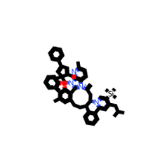 C=C1CC2C(CCc3cc(C)c4c(oc5ccccc54)c3-c3n(CC4(C)C=C(c5ccccc5)C=C4C)c4nc(C)ccc4[n+]31)c1ccccc1-c1cc(CC(C)C)c([Si](C)(C)C)c[n+]12